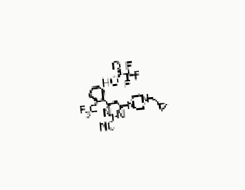 N#Cc1nc(-c2ccccc2C(F)(F)F)cc(N2CCN(CC3CC3)CC2)n1.O=C(O)C(F)(F)F